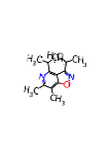 Cc1nc(C(C)C)c2c(C(C)C)noc2c1C